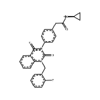 O=C(Cc1ccc(-n2c(=O)c3ccccc3n(Cc3ccccc3F)c2=O)cc1)NC1CC1